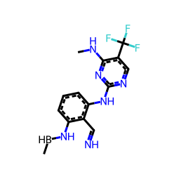 CBNc1cccc(Nc2ncc(C(F)(F)F)c(NC)n2)c1C=N